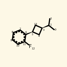 CC(C)[C@H]1C[C@@H](c2ccccc2F)C1